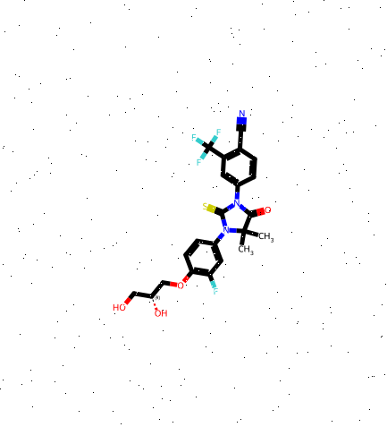 CC1(C)C(=O)N(c2ccc(C#N)c(C(F)(F)F)c2)C(=S)N1c1ccc(OC[C@H](O)CO)c(F)c1